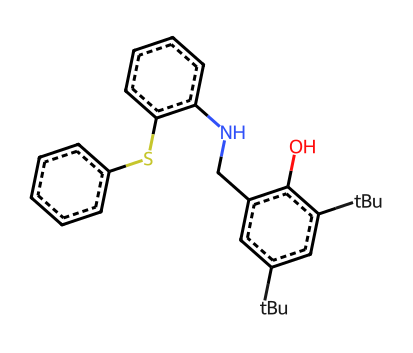 CC(C)(C)c1cc(CNc2ccccc2Sc2ccccc2)c(O)c(C(C)(C)C)c1